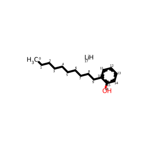 CCCCCCCCCCc1ccccc1O.[LiH]